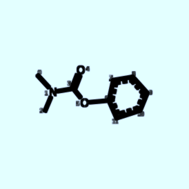 CN(C)C(=O)Oc1[c]cccc1